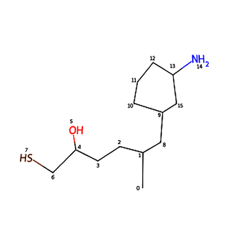 CC(CCC(O)CS)CC1CCCC(N)C1